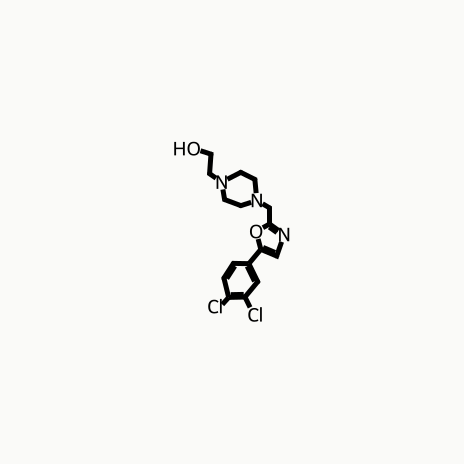 OCCN1CCN(Cc2ncc(-c3ccc(Cl)c(Cl)c3)o2)CC1